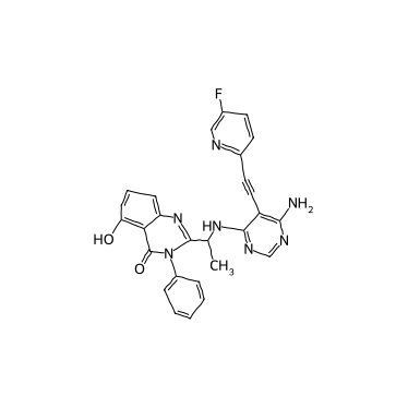 CC(Nc1ncnc(N)c1C#Cc1ccc(F)cn1)c1nc2cccc(O)c2c(=O)n1-c1ccccc1